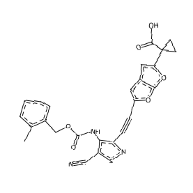 Cc1ccccc1COC(=O)Nc1c(C#Cc2cc3cc(C4(C(=O)O)CC4)oc3o2)nsc1C#N